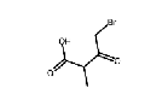 CC(C(=O)O)C(=O)CBr